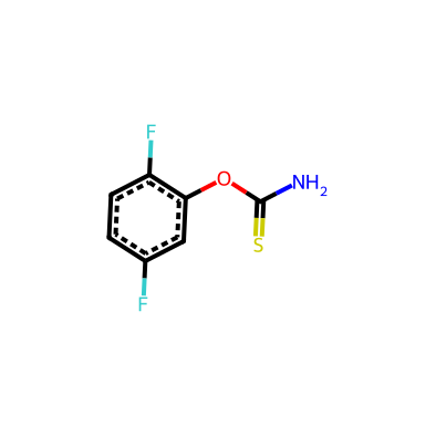 NC(=S)Oc1cc(F)ccc1F